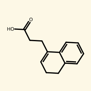 O=C(O)CCC1=CCCc2ccccc21